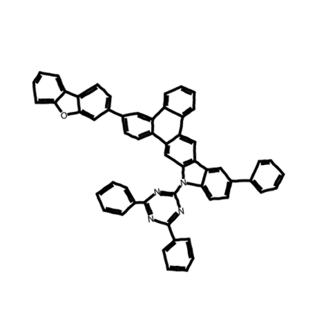 c1ccc(-c2ccc3c(c2)c2cc4c5ccccc5c5cc(-c6ccc7c(c6)oc6ccccc67)ccc5c4cc2n3-c2nc(-c3ccccc3)nc(-c3ccccc3)n2)cc1